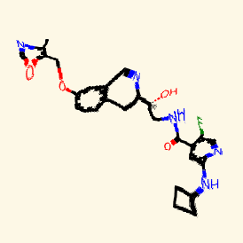 Cc1ncoc1COc1ccc2c(c1)C=NC([C@H](O)CNC(=O)c1cc(NC3CCC3)ncc1F)C2